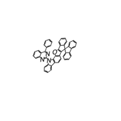 c1ccc(-c2nc(-n3c4ccccc4c4ccc5c6c(oc5c43)-c3ccccc3C63c4ccccc4-c4ccccc43)nc3ccccc23)cc1